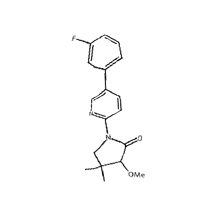 COC1C(=O)N(c2ccc(-c3cccc(F)c3)cn2)CC1(C)C